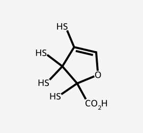 O=C(O)C1(S)OC=C(S)C1(S)S